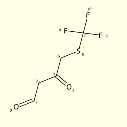 O=CCC(=O)CSC(F)(F)F